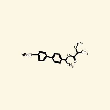 CCCCCc1ccc(-c2ccc(C(C)OC(=O)C(C)OCCC)cc2)cc1